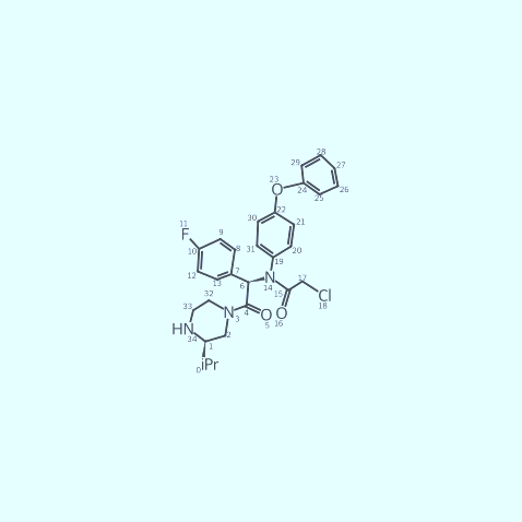 CC(C)[C@@H]1CN(C(=O)[C@@H](c2ccc(F)cc2)N(C(=O)CCl)c2ccc(Oc3ccccc3)cc2)CCN1